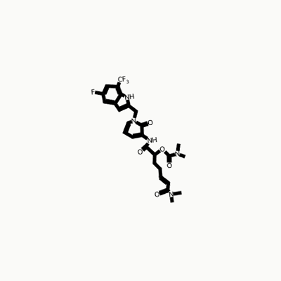 CN(C)C(=O)/C=C/CCC(OC(=O)N(C)C)C(=O)Nc1cccn(Cc2cc3cc(F)cc(C(F)(F)F)c3[nH]2)c1=O